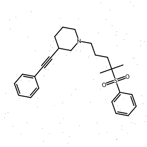 CC(C)(CCCN1CCCC(C#Cc2ccccc2)C1)S(=O)(=O)c1ccccc1